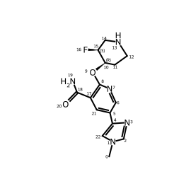 Cn1cnc(-c2cnc(O[C@@H]3CCNC[C@@H]3F)c(C(N)=O)c2)c1